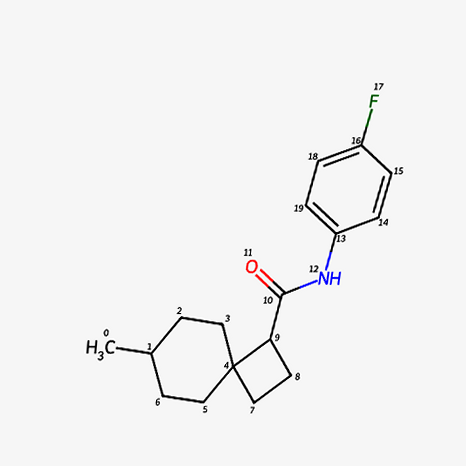 CC1CCC2(CC1)CCC2C(=O)Nc1ccc(F)cc1